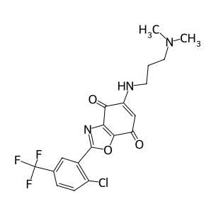 CN(C)CCCNC1=CC(=O)c2oc(-c3cc(C(F)(F)F)ccc3Cl)nc2C1=O